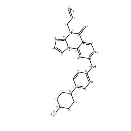 C=CCn1c(=O)c2cnc(Nc3ccc(N4CCN(C)CC4)cc3)nc2n2ccnc12